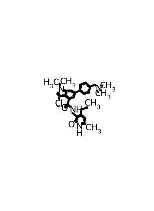 CCCc1cc(C)[nH]c(=O)c1CNC(=O)c1cc(-c2ccc(CN(C)C)cc2)cc2c1c(Cl)cn2C(C)C